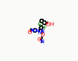 CC(=O)N1CCN(c2nc(OCCC(=O)N(C)C)nc3c(F)c([C@H]4CC(C)(O)Cc5ccccc54)c(Cl)cc23)CC1